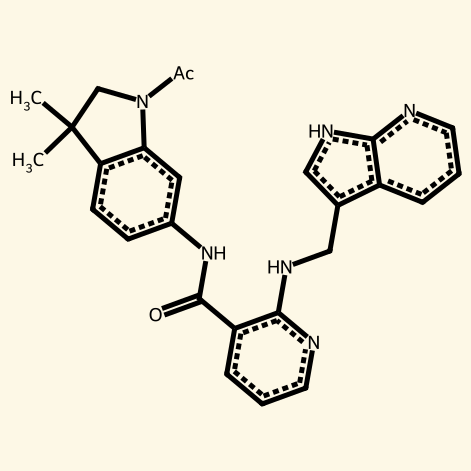 CC(=O)N1CC(C)(C)c2ccc(NC(=O)c3cccnc3NCc3c[nH]c4ncccc34)cc21